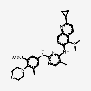 COc1cc(Nc2ncc(Br)c(Nc3ccc4nc(C5CC5)ccc4c3P(C)C)n2)cc(C)c1N1CCOCC1